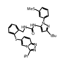 CSc1cccc(-n2nc(C(C)(C)C)cc2NC(=O)NCc2ccccc2Sc2ccc3nnc(C(C)C)n3c2)c1